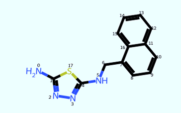 Nc1nnc(NCc2cccc3ccccc23)s1